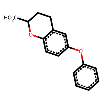 O=C(O)C1CCc2cc(Oc3ccccc3)ccc2O1